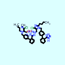 C=N/C(Cl)=C(/CO)N(CCCC)Cc1ccc(-c2ccccc2/C(N)=N/N(N)Cc2c(Cl)nc(CCCC)n2Cc2ccc(-c3ccccc3-c3nnn[nH]3)cc2)cc1